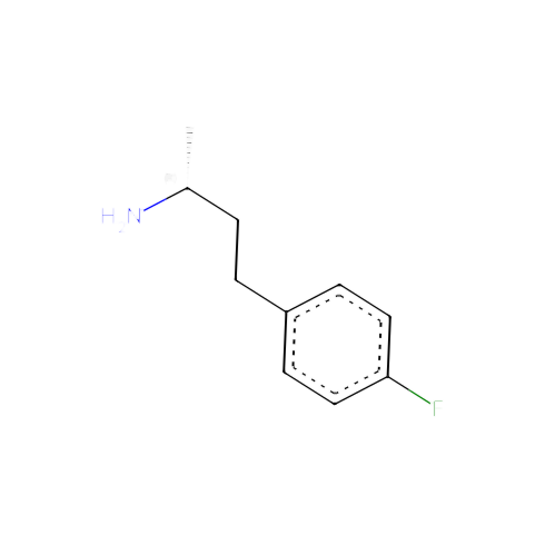 C[C@@H](N)CCc1ccc(F)cc1